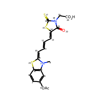 CC(=O)Oc1ccc2c(c1)N(C)C(=CC=CC=C1SC(=S)N(CC(=O)O)C1=O)S2